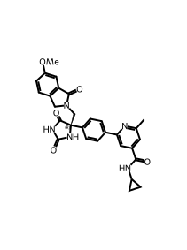 COc1ccc2c(c1)C(=O)N(C[C@@]1(c3ccc(-c4cc(C(=O)NC5CC5)cc(C)n4)cc3)NC(=O)NC1=O)C2